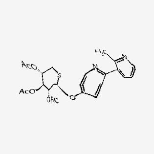 CC(=O)O[C@@H]1[C@@H](OC(C)=O)[C@H](OC(C)=O)CS[C@H]1Oc1ccc(-c2cccnc2C)nc1